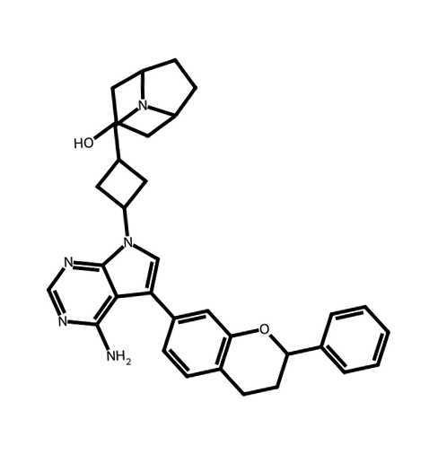 Nc1ncnc2c1c(-c1ccc3c(c1)OC(c1ccccc1)CC3)cn2C1CC(CN2C3CCC2CC(O)C3)C1